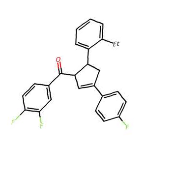 CCc1ccccc1C1CC(c2ccc(F)cc2)=CC1C(=O)c1ccc(F)c(F)c1